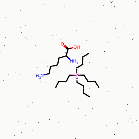 CCCC[PH](CCCC)(CCCC)CCCC.NCCCCC(N)C(=O)O